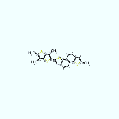 Cc1cc2ccc3c(ccc4cc(-c5sc6c(C)c(C)sc6c5C)sc43)c2s1